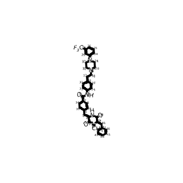 Cn1c(=O)c(=Cc2ccc(C(=O)Nc3ccc(CCN4CCN(c5cccc(C(F)(F)F)c5)CC4)cc3)cc2)[nH]c(=O)c1=Cc1ccccc1